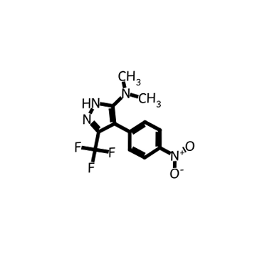 CN(C)c1[nH]nc(C(F)(F)F)c1-c1ccc([N+](=O)[O-])cc1